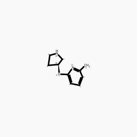 Cc1cccc(O[C@H]2CCNC2)n1